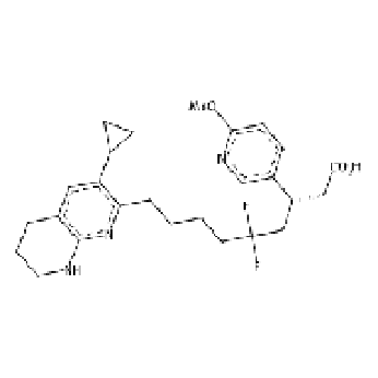 COc1ccc([C@H](CC(=O)O)CC(F)(F)CCCCc2nc3c(cc2C2CC2)CCCN3)cn1